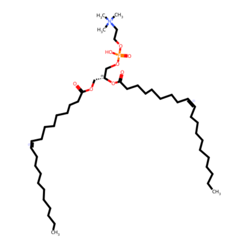 CCCCCCCCCC/C=C\CCCCCCCC(=O)OC[C@H](COP(=O)(O)OCC[N+](C)(C)C)OC(=O)CCCCCCC/C=C\CCCCCCCCCC